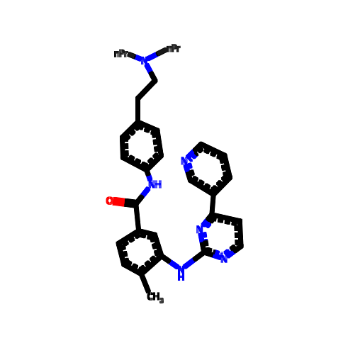 CCCN(CCC)CCc1ccc(NC(=O)c2ccc(C)c(Nc3nccc(-c4cccnc4)n3)c2)cc1